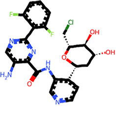 Nc1cnc(-c2c(F)cccc2F)nc1C(=O)Nc1cnccc1[C@H]1C[C@@H](O)[C@H](O)[C@@H](CCl)O1